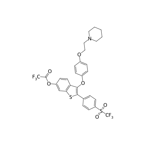 O=C(Oc1ccc2c(Oc3ccc(OCCN4CCCCC4)cc3)c(-c3ccc(S(=O)(=O)C(F)(F)F)cc3)sc2c1)C(F)(F)F